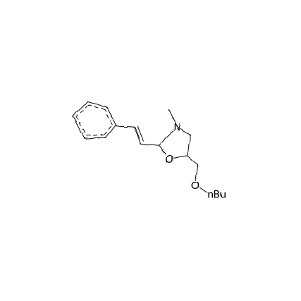 CCCCOCC1CN(C)C(/C=C/c2ccccc2)O1